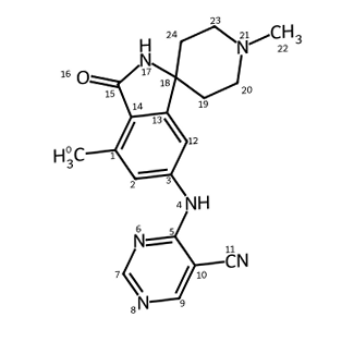 Cc1cc(Nc2ncncc2C#N)cc2c1C(=O)NC21CCN(C)CC1